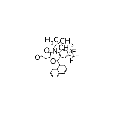 CC(C)(C)CN1C(=O)C(C[C]=O)OC(c2cccc3ccccc23)c2cc(C(F)(F)F)ccc21